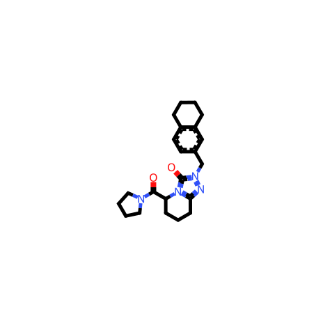 O=C(C1CCCc2nn(Cc3ccc4c(c3)CCCC4)c(=O)n21)N1CCCC1